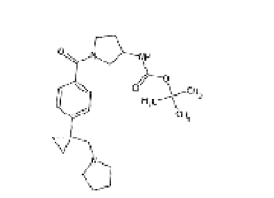 CC(C)(C)OC(=O)NC1CCN(C(=O)c2ccc(C3(CN4CCCC4)CC3)cc2)C1